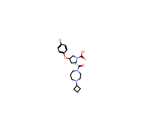 O=C([C@@H]1CC(Oc2ccc(Cl)cc2)CN1C(=O)O)N1CCCN(C2CCC2)CC1